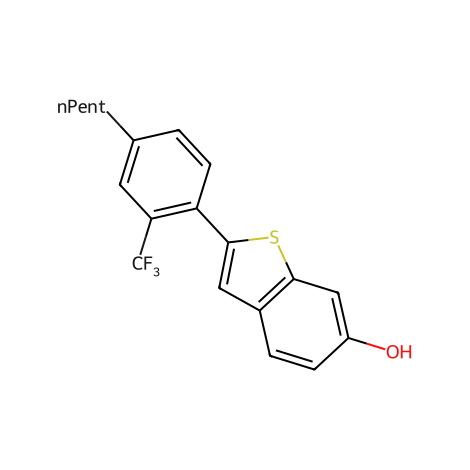 CCCCCc1ccc(-c2cc3ccc(O)cc3s2)c(C(F)(F)F)c1